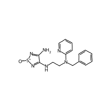 Nc1n[s+]([O-])nc1NCCN(Cc1ccccc1)c1ccccn1